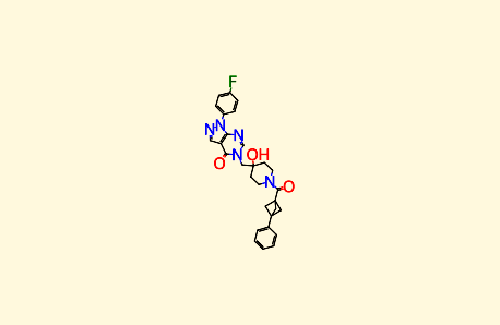 O=C(N1CCC(O)(Cn2cnc3c(cnn3-c3ccc(F)cc3)c2=O)CC1)C12CC(c3ccccc3)(C1)C2